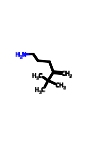 C=C(CCCN)C(C)(C)C